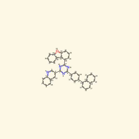 c1ccc2ncc(-c3nc(-c4ccc(-c5cccc6ccccc56)cc4)nc(-c4cccc5oc6ccccc6c45)n3)cc2c1